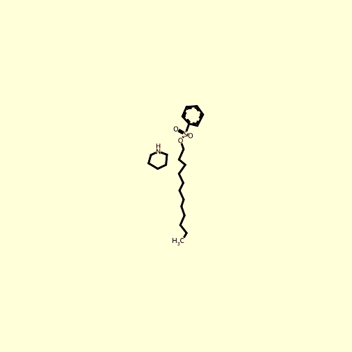 C1CCNCC1.CCCCCCCCCCCCOS(=O)(=O)c1ccccc1